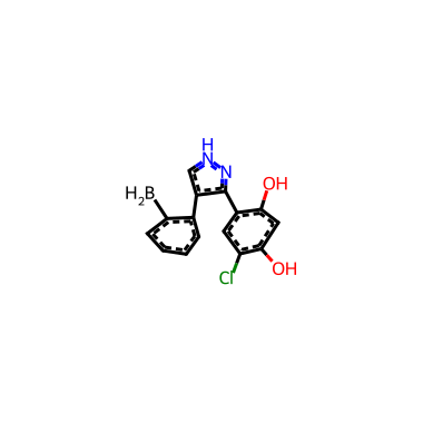 Bc1ccccc1-c1c[nH]nc1-c1cc(Cl)c(O)cc1O